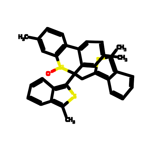 Cc1ccc2c(c1)[S+]([O-])C(Cc1sc(C)c3ccccc13)(c1sc(C)c3ccccc13)c1cc(C)ccc1-2